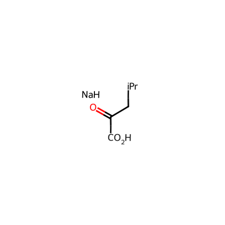 CC(C)CC(=O)C(=O)O.[NaH]